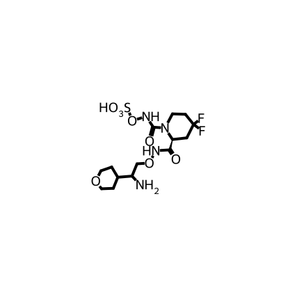 NC(CONC(=O)[C@@H]1CC(F)(F)CCN1C(=O)NOS(=O)(=O)O)C1CCOCC1